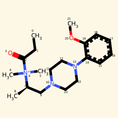 CCC(=O)[N+](C)(C)[C@H](C)CN1CCN(c2ccccc2OC)CC1